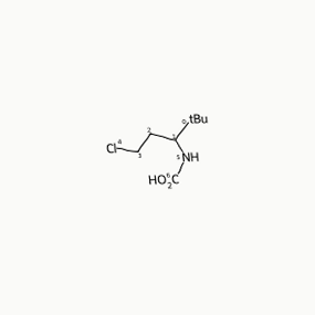 CC(C)(C)C(CCCl)NC(=O)O